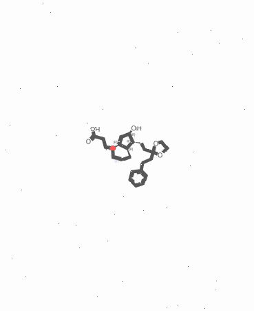 O=C(O)CCC/C=C\C[C@@H]1[C@@H](CCC2(CCc3ccccc3)OCCO2)[C@H](O)C[C@H]1O